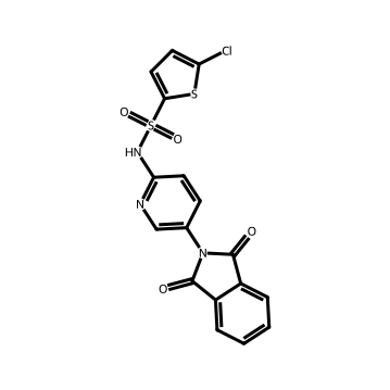 O=C1c2ccccc2C(=O)N1c1ccc(NS(=O)(=O)c2ccc(Cl)s2)nc1